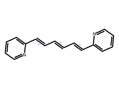 C(=C\C=C\c1ccccn1)/C=C/c1ccccn1